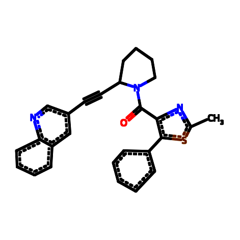 Cc1nc(C(=O)N2CCCCC2C#Cc2cnc3ccccc3c2)c(-c2ccccc2)s1